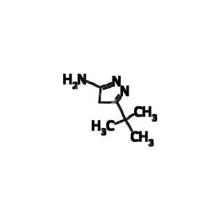 CC(C)(C)C1=NN=C(N)C1